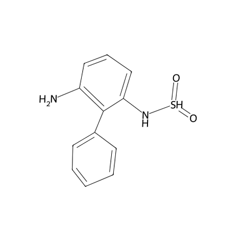 Nc1cccc(N[SH](=O)=O)c1-c1ccccc1